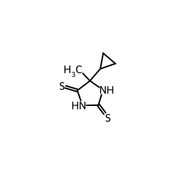 CC1(C2CC2)NC(=S)NC1=S